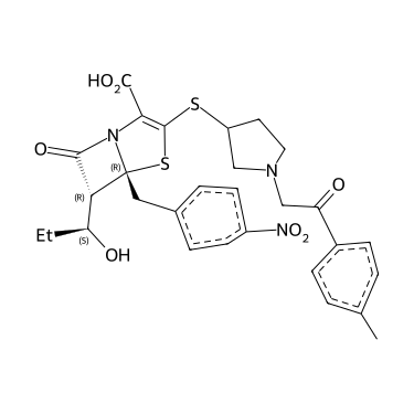 CC[C@H](O)[C@@H]1C(=O)N2C(C(=O)O)=C(SC3CCN(CC(=O)c4ccc(C)cc4)C3)S[C@]12Cc1ccc([N+](=O)[O-])cc1